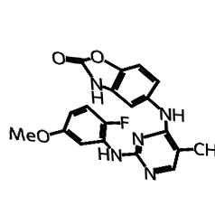 COc1ccc(F)c(Nc2ncc(C)c(Nc3ccc4oc(=O)[nH]c4c3)n2)c1